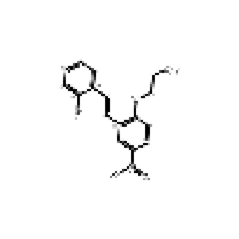 [CH2]CCOc1ccc([N+](=O)[O-])cc1C=Cc1ccccc1Br